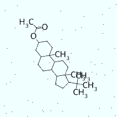 CC(=O)OC1CCC2(C)C(CCC3C2CCC2(C)C3CCC2C(C)(C)C)C1